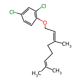 CC(C)=CCCC(C)=CCOc1ccc(Cl)cc1Cl